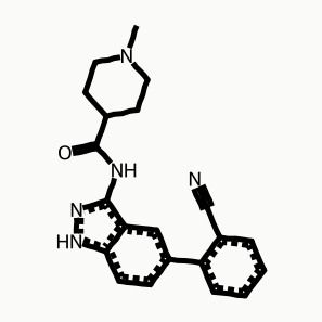 CN1CCC(C(=O)Nc2n[nH]c3ccc(-c4ccccc4C#N)cc23)CC1